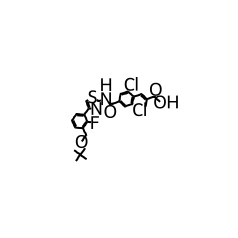 C/C(=C\c1c(Cl)cc(C(=O)Nc2nc(-c3cccc(COCC(C)(C)C)c3F)cs2)cc1Cl)C(=O)O